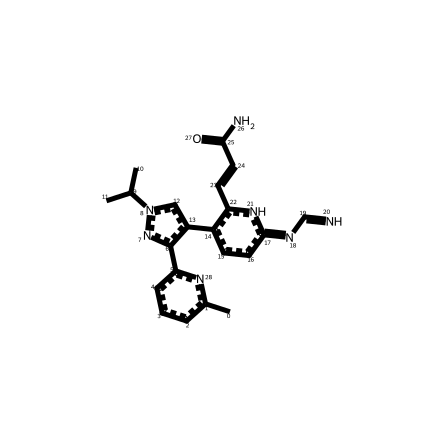 Cc1cccc(-c2nn(C(C)C)cc2-c2cc/c(=N/C=N)[nH]c2/C=C/C(N)=O)n1